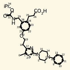 Cc1sc(N2CCN(c3ccccc3)CC2)nc1CCOc1ccc(CCC(=O)O)c(CNC(=O)OC(C)C)c1